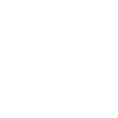 CC1(OC(=O)OC(Cl)C(Cl)(Cl)Cl)CCCCC1